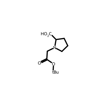 CC(C)(C)OC(=O)CN1CCCC1C(=O)O